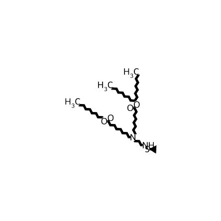 CCCCCCCCCOC(=O)CCCCCCCN(CCCCCCCC(=O)OC(CCCCCCCC)CCCCCCCC)CCCNSC1CC1